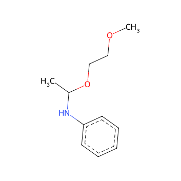 COCCOC(C)Nc1ccccc1